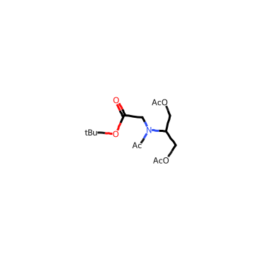 CC(=O)OCC(COC(C)=O)N(CC(=O)OC(C)(C)C)C(C)=O